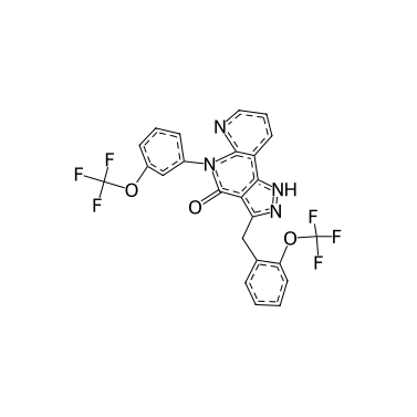 O=c1c2c(Cc3ccccc3OC(F)(F)F)n[nH]c2c2cccnc2n1-c1cccc(OC(F)(F)F)c1